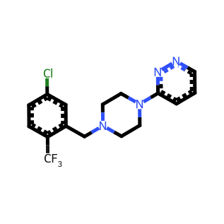 FC(F)(F)c1ccc(Cl)cc1CN1CCN(c2cccnn2)CC1